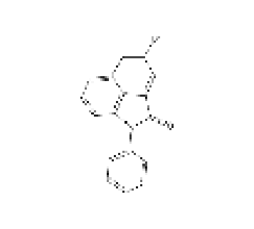 O=C1c2cc(Br)cc3cccc(c23)N1c1ccccc1